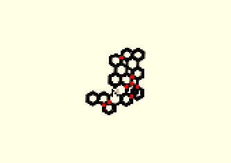 c1ccc(-c2ccc3c(c2)C2(c4ccccc4-c4ccc(N(c5ccc6ccccc6c5)c5c(-c6ccccc6)ccc6ccccc56)c5cccc2c45)c2cccc4cccc-3c24)cc1